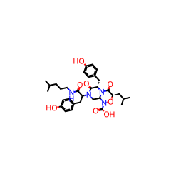 CC(C)CCCNC(=O)C(Cc1ccc(O)cc1)N1CC2N(C(=O)O)O[C@H](CC(C)C)C(=O)N2[C@@H](Cc2ccc(O)cc2)C1=O